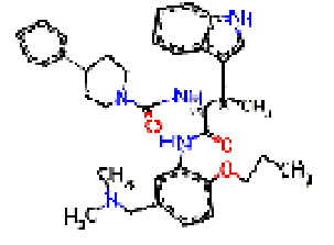 CCCOc1ccc(CN(C)C)cc1NC(=O)[C@H](NC(=O)N1CCC(c2ccccc2)CC1)[C@H](C)c1c[nH]c2ccccc12